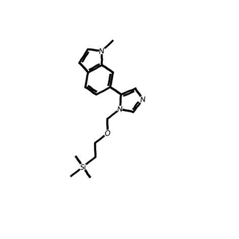 Cn1ccc2ccc(-c3cncn3COCC[Si](C)(C)C)cc21